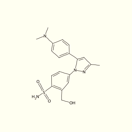 Cc1cc(-c2ccc(N(C)C)cc2)n(-c2ccc(S(N)(=O)=O)c(CO)c2)n1